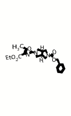 CCOC(=O)c1nc(N2C[C@H]3CN(C(=O)OCc4ccccc4)C[C@H]3C2)oc1C